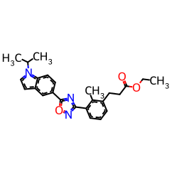 CCOC(=O)CCc1cccc(-c2noc(-c3ccc4c(ccn4C(C)C)c3)n2)c1C